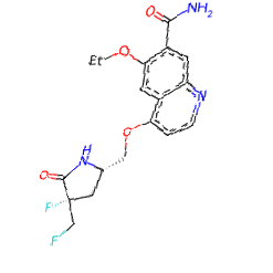 CCOc1cc2c(OC[C@@H]3C[C@@](F)(CF)C(=O)N3)ccnc2cc1C(N)=O